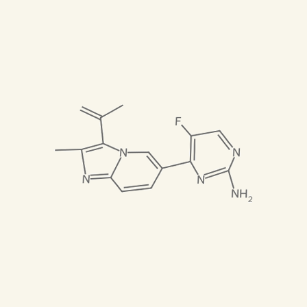 C=C(C)c1c(C)nc2ccc(-c3nc(N)ncc3F)cn12